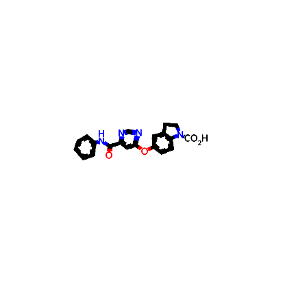 O=C(Nc1ccccc1)c1cc(Oc2ccc3c(c2)CCN3C(=O)O)ncn1